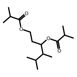 CC(C)C(=O)OCCC(OC(=O)C(C)C)C(C)C(C)C